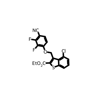 CCOC(=O)c1sc2cccc(Cl)c2c1COc1ccc(C#N)c(F)c1F